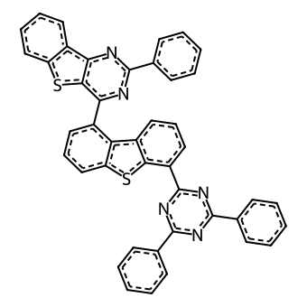 c1ccc(-c2nc(-c3ccccc3)nc(-c3cccc4c3sc3cccc(-c5nc(-c6ccccc6)nc6c5sc5ccccc56)c34)n2)cc1